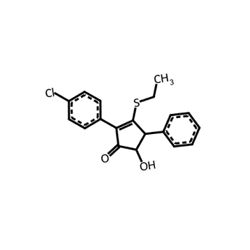 CCSC1=C(c2ccc(Cl)cc2)C(=O)C(O)C1c1ccccc1